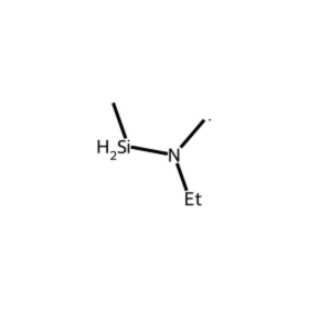 [CH2]N(CC)[SiH2]C